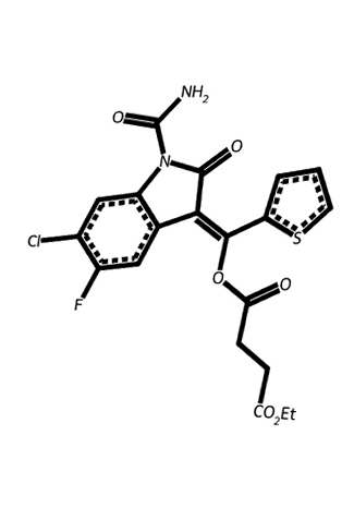 CCOC(=O)CCC(=O)OC(=C1C(=O)N(C(N)=O)c2cc(Cl)c(F)cc21)c1cccs1